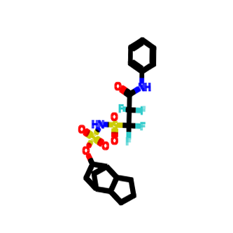 O=C(Nc1ccccc1)C(F)(F)C(F)(F)S(=O)(=O)NS(=O)(=O)OC1CC2CC1C1CCCC21